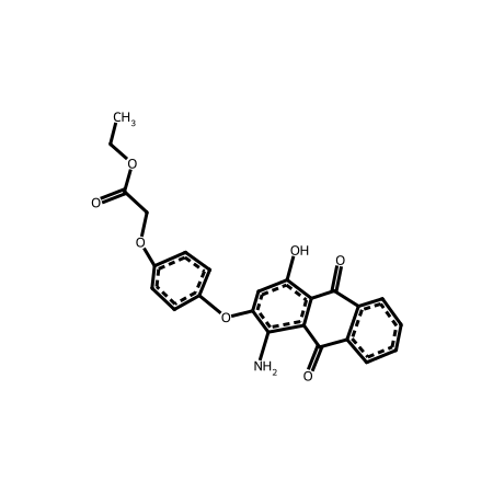 CCOC(=O)COc1ccc(Oc2cc(O)c3c(c2N)C(=O)c2ccccc2C3=O)cc1